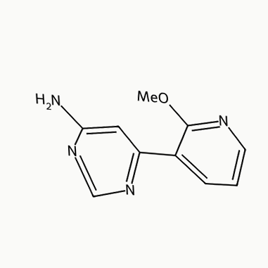 COc1ncccc1-c1cc(N)ncn1